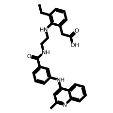 CCc1cccc(CC(=O)O)c1NCCNC(=O)c1cccc(Nc2cc(C)nc3ccccc23)c1